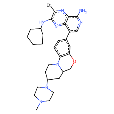 CCc1nc2c(N)ncc(-c3ccc4c(c3)OCC3CC(N5CCN(C)CC5)CCN43)c2nc1NC1CCCCC1